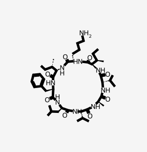 CC[C@@H](C)[C@H]1NC(=O)[C@H](C(C)C)NC(=O)[C@@H](C)NC(=O)[C@H](C(C)C)NC(=O)[C@@H](CC(C)C)NC(=O)[C@@H](Cc2ccccc2)NC(=O)[C@H]([C@@H](C)CC)NC(=O)[C@H](CCCCN)NC1=O